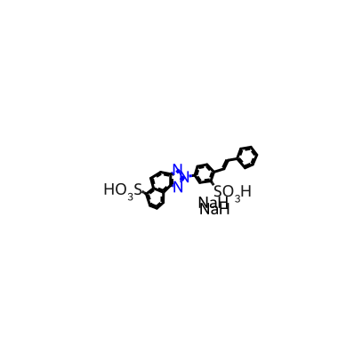 O=S(=O)(O)c1cc(-n2nc3ccc4c(S(=O)(=O)O)cccc4c3n2)ccc1C=Cc1ccccc1.[NaH].[NaH]